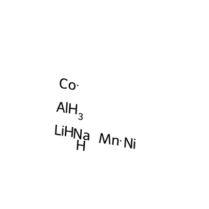 [AlH3].[Co].[LiH].[Mn].[NaH].[Ni]